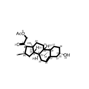 CC(=O)OCC(=O)[C@H]1[C@H](C)C[C@H]2[C@@H]3CC=C4C[C@@H](O)CC[C@]4(C)[C@H]3CC[C@@]21C